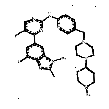 CCN1CCC(N2CCN(Cc3ccc(Nc4ncc(F)c(-c5cc(F)c6nc(C)n(C(C)C)c6c5)n4)nc3)CC2)CC1